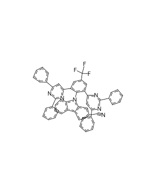 N#Cc1ccc2c3ccccc3n(-c3c(-c4cc(-c5ccccc5)nc(-c5ccccc5)n4)cc(C(F)(F)F)cc3-c3cc(-c4ccccc4)nc(-c4ccccc4)n3)c2c1